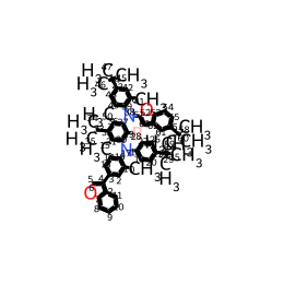 Cc1cc(-c2coc3ccccc23)cc(C)c1N1c2ccc(C(C)(C)C)cc2B2c3c1cc(C(C)C)cc3N(c1c(C)cc(C(C)(C)C)cc1C)c1oc3ccc(C(C)(C)C)cc3c12